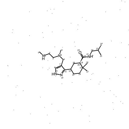 CNCCN(C)Cc1c[nH]nc1C1CCC(C)(C)[C@H](C(=O)NCC(C)C)C1